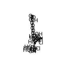 O=C(CCN1C(=O)C=CC1=O)NCCOCCOCCOCCOCCOCCOCCOCCC(=O)Nc1cc(/C=C/C(=O)N2C[C@@H](CCl)c3c2cc(O[C@@H]2O[C@H](CO)[C@H](O)[C@H](O)[C@H]2O)c2ccccc32)ccc1/C=C/C(=O)N1C[C@@H](CCl)c2c1cc(O[C@@H]1O[C@H](CO)[C@H](O)[C@H](O)[C@H]1O)c1ccccc21